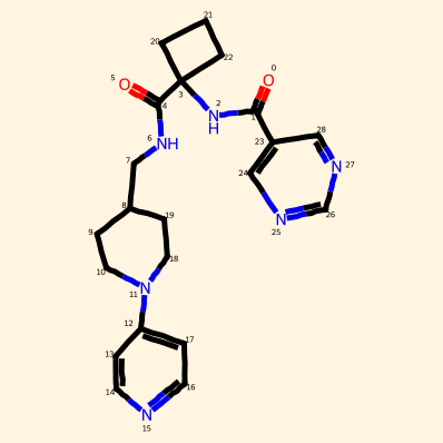 O=C(NC1(C(=O)NCC2CCN(c3ccncc3)CC2)CCC1)c1cncnc1